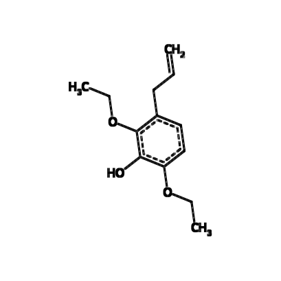 C=CCc1ccc(OCC)c(O)c1OCC